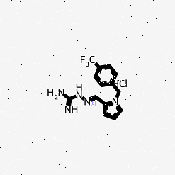 Cl.N=C(N)N/N=C/c1cccn1Cc1ccc(C(F)(F)F)cc1